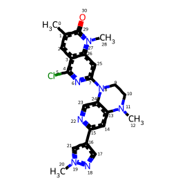 Cc1cc2c(Cl)nc(N3CCN(C)c4cc(-c5cnn(C)c5)ncc43)cc2n(C)c1=O